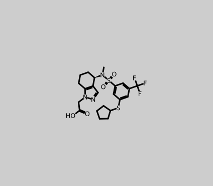 CN([C@@H]1CCCc2c1cnn2CC(=O)O)S(=O)(=O)c1cc(SC2CCCC2)cc(C(F)(F)F)c1